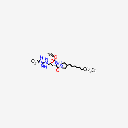 CCOC(=O)CCCCCCC1CCN(C(=O)[C@H](CCCNC(=N)N[N+](=O)[O-])NC(=O)OC(C)(C)C)CC1